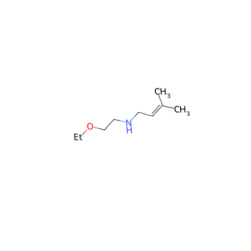 CCOCCNCC=C(C)C